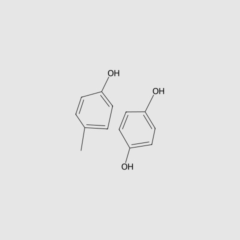 Cc1ccc(O)cc1.Oc1ccc(O)cc1